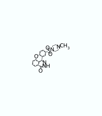 CN1CCN(S(=O)(=O)c2ccc3c(c2)-c2n[nH]c(=O)c4cccc(c24)O3)CC1